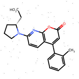 Cc1ccccc1-c1cc(=O)oc2nc(N3CCC[C@@H]3CC(=O)O)ccc12